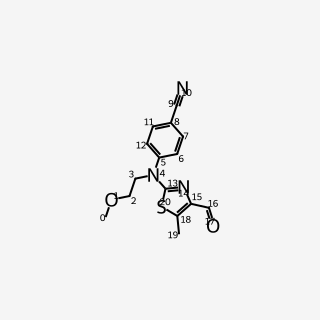 COCCN(c1ccc(C#N)cc1)c1nc(C=O)c(C)s1